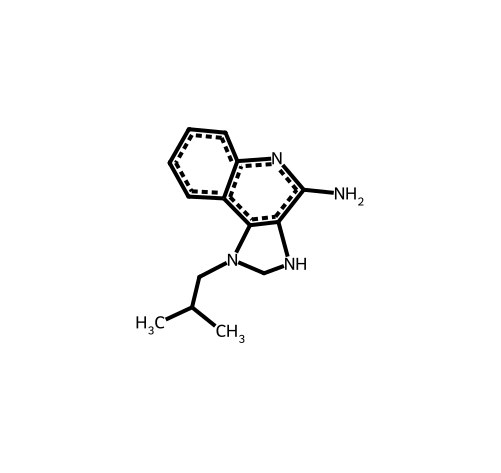 CC(C)CN1CNc2c(N)nc3ccccc3c21